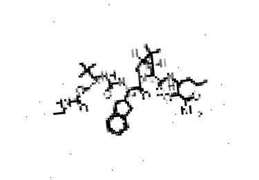 CCCC(NC(=O)[C@@H]1[C@@H]2[C@H](CN1C(=O)[C@@H](NC(=O)N[C@H](COC(=O)NCC)C(C)(C)C)C1Cc3ccccc3C1)C2(C)C)C(=O)C(N)=O